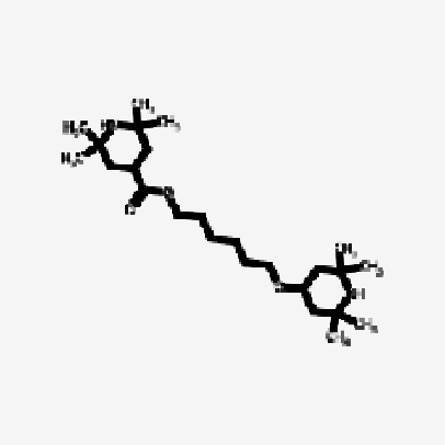 CC1(C)CC(OCCCCCCOC(=O)C2CC(C)(C)NC(C)(C)C2)CC(C)(C)N1